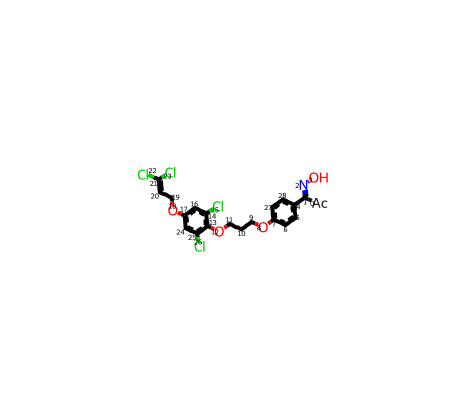 CC(=O)C(=NO)c1ccc(OCCCOc2c(Cl)cc(OCC=C(Cl)Cl)cc2Cl)cc1